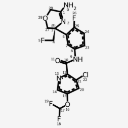 NC1=N[C@](CF)(c2cc(NC(=O)c3ncc(OC(F)F)cc3Cl)ccc2F)COC1